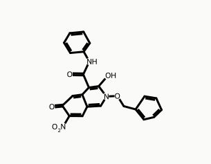 O=C(Nc1ccccc1)c1c2cc(=O)c([N+](=O)[O-])cc-2cn(OCc2ccccc2)c1O